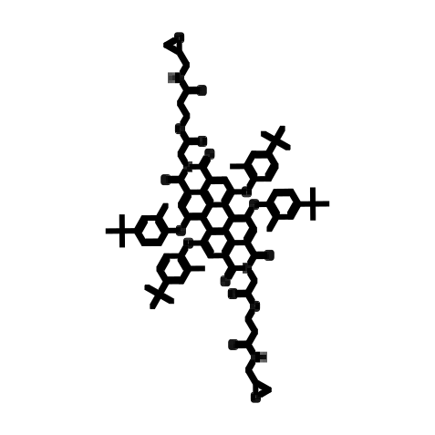 Cc1cc(C(C)(C)C)ccc1Oc1cc2c3c(cc(Oc4ccc(C(C)(C)C)cc4C)c4c5c(Oc6ccc(C(C)(C)C)cc6C)cc6c7c(cc(Oc8ccc(C(C)(C)C)cc8C)c(c1c34)c75)C(=O)N(CC(=O)OCCC(=O)NCC1CO1)C6=O)C(=O)N(CC(=O)OCCC(=O)NCC1CO1)C2=O